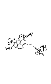 COc1cc2c(ccc3c(CCN(C)C)cc(O)c(OC)c32)cc1O